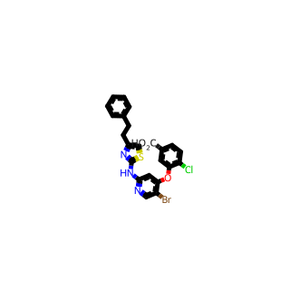 O=C(O)c1ccc(Cl)c(Oc2cc(Nc3nc(CCc4ccccc4)cs3)ncc2Br)c1